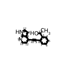 C[C@H](O)c1ccccc1C#Cc1ccnc2[nH]ccc12